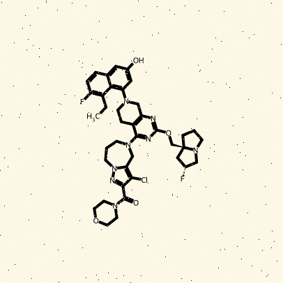 CCc1c(F)ccc2cc(O)cc(N3CCc4c(nc(OC[C@@]56CCCN5C[C@H](F)C6)nc4N4CCCn5nc(C(=O)N6CCOCC6)c(Cl)c5C4)C3)c12